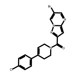 O=C(c1cc2ncc(Br)cn2n1)N1CC=C(c2ccc(Cl)cc2)CC1